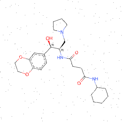 O=C(CCC(=O)N[C@H](CN1CCCC1)[C@H](O)c1ccc2c(c1)OCCO2)NC1CCCCC1